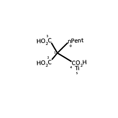 CCCCCC(C(=O)O)(C(=O)O)C(=O)O.[Ti]